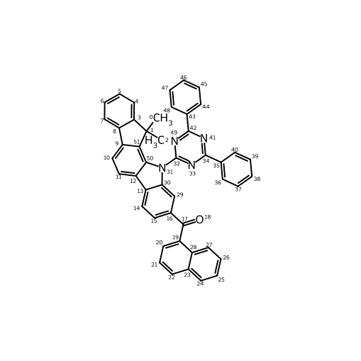 CC1(C)c2ccccc2-c2ccc3c4ccc(C(=O)c5cccc6ccccc56)cc4n(-c4nc(-c5ccccc5)nc(-c5ccccc5)n4)c3c21